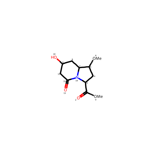 COC(=O)C1CC(OC)C2CC(O)CC(=O)N12